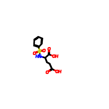 O=C(O)CCC(NS(=O)(=O)c1ccccc1)C(=O)O